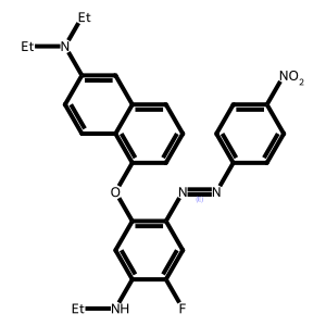 CCNc1cc(Oc2cccc3cc(N(CC)CC)ccc23)c(/N=N/c2ccc([N+](=O)[O-])cc2)cc1F